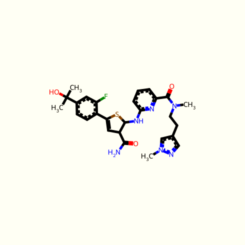 CN(CCc1cnn(C)c1)C(=O)c1cccc(NC2SC(c3ccc(C(C)(C)O)cc3F)=CC2C(N)=O)n1